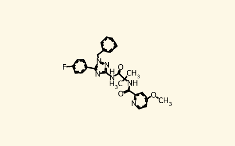 COc1ccnc(C(=O)NC(C)(C)C(=O)Nc2nc(-c3ccc(F)cc3)n(Cc3ccccc3)n2)c1